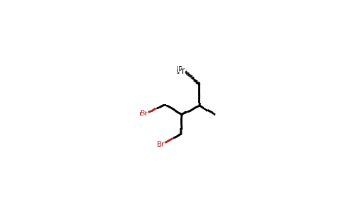 CC(C)CC(C)C(CBr)CBr